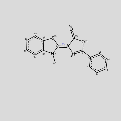 CN1/C(=C2\N=C(c3ccccc3)OC2=O)Sc2ccccc21